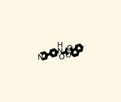 O=C(Nc1ccc(-c2ccncc2)cc1)C1COc2c(ccc3ccccc23)O1